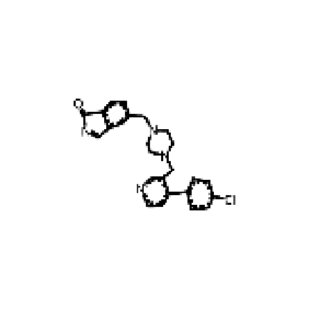 O=C1N=Cc2cc(CN3CCN(Cc4cnccc4-c4ccc(Cl)cc4)CC3)ccc21